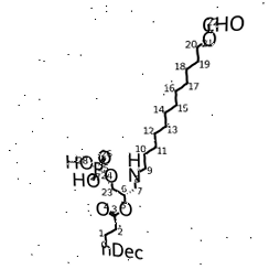 CCCCCCCCCCCCC(=O)O[C@@H](CNCCCCCCCCCCCCOC=O)COP(=O)(O)O